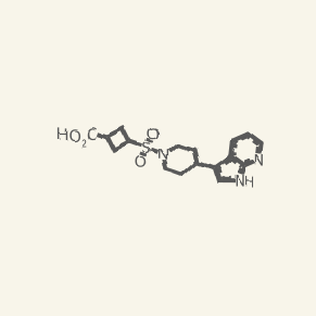 O=C(O)C1CC(S(=O)(=O)N2CCC(c3c[nH]c4ncccc34)CC2)C1